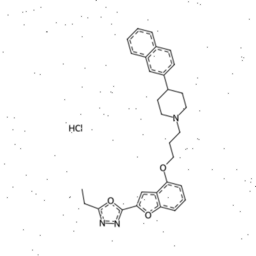 CCc1nnc(-c2cc3c(OCCCN4CCC(c5ccc6ccccc6c5)CC4)cccc3o2)o1.Cl